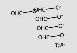 O=C[O-].O=C[O-].O=C[O-].O=C[O-].O=C[O-].[Ta+5]